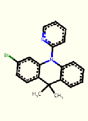 CC1(C)c2ccccc2N(c2ccccn2)c2cc(Br)ccc21